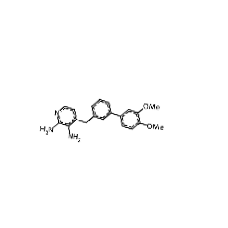 COc1ccc(-c2cccc(Cc3ccnc(N)c3N)c2)cc1OC